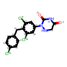 O=C1CNN(c2cc(Cl)c(Cc3ccc(Cl)cc3)c(Cl)c2)C(=O)N1